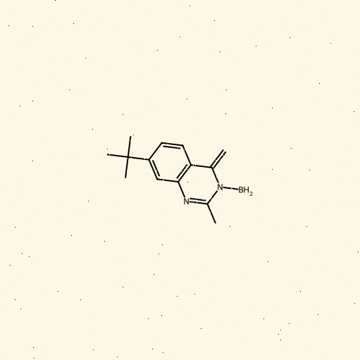 BN1C(=C)c2ccc(C(C)(C)C)cc2N=C1C